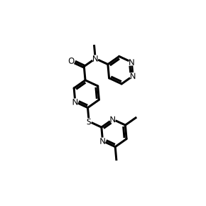 Cc1cc(C)nc(Sc2ccc(C(=O)N(C)c3ccnnc3)cn2)n1